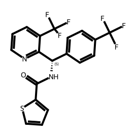 O=C(N[C@@H](c1ccc(C(F)(F)F)cc1)c1ncccc1C(F)(F)F)c1cccs1